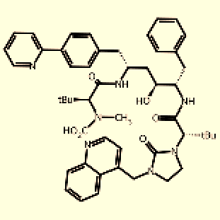 CN(C(=O)O)[C@H](C(=O)N[C@H](Cc1ccc(-c2ccccn2)cc1)C[C@H](O)[C@H](Cc1ccccc1)NC(=O)[C@@H](N1CCN(Cc2ccnc3ccccc23)C1=O)C(C)(C)C)C(C)(C)C